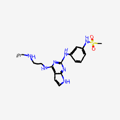 CC(C)NCCNc1nc(Nc2cccc(NS(C)(=O)=O)c2)nc2[nH]ccc12